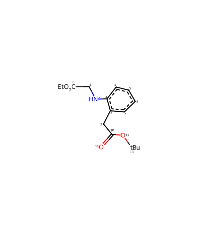 CCOC(=O)CNc1ccccc1CC(=O)OC(C)(C)C